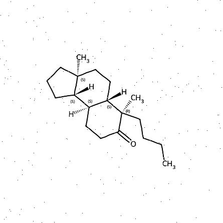 CCCC[C@@]1(C)C(=O)CC[C@H]2[C@@H]3CCC[C@@]3(C)CC[C@@H]21